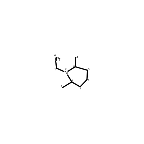 CC(C)CN1C(C)CCCC1C